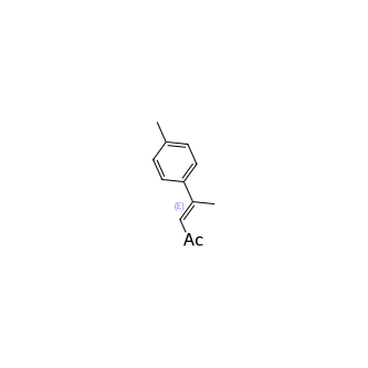 CC(=O)/C=C(\C)c1ccc(C)cc1